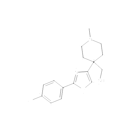 CN1CCC(CN)(c2coc(-c3ccc(F)cc3)n2)CC1